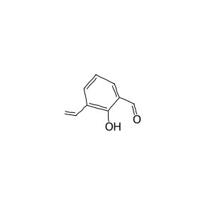 C=Cc1cccc(C=O)c1O